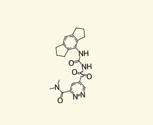 CN(C)C(=O)c1cc(S(=O)(=O)NC(=O)Nc2c3c(cc4c2CCC4)CCC3)cnn1